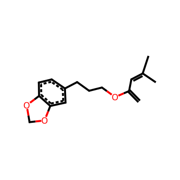 C=C(C=C(C)C)OCCCc1ccc2c(c1)OCO2